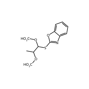 CC(OC(=O)O)C(OC(=O)O)Sc1nc2ccccc2o1